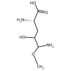 COC(N)C(O)C[C@H](N)C(=O)O